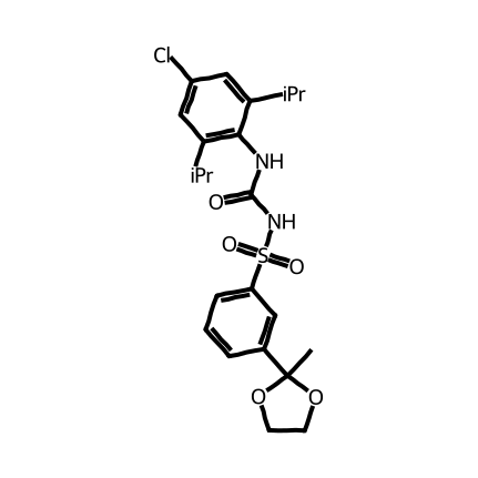 CC(C)c1cc(Cl)cc(C(C)C)c1NC(=O)NS(=O)(=O)c1cccc(C2(C)OCCO2)c1